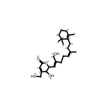 CC(=CCCC(=CC1OC(=O)C=C(CO)C1O)CO)CCC1=C(C)CCCC1(C)C